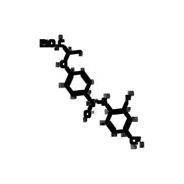 CCOC(=O)C(C)Oc1ccc([S+]([O-])Sc2ccc(C(F)(F)F)cc2F)cc1